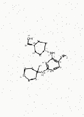 CC1(Nc2ncc(N)c(N[C@H]3CC[C@H](CO)CC3)n2)CCOCC1